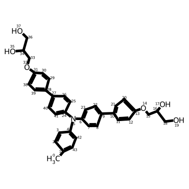 Cc1ccc(N(c2ccc(-c3ccc(OCC(O)CO)cc3)cc2)c2ccc(-c3ccc(OCC(O)CO)cc3)cc2)cc1